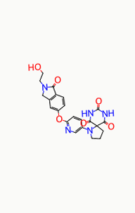 O=C1NC(=O)C2(CCCN2c2ccc(Oc3ccc4c(c3)CN(CCO)C4=O)nc2)C(=O)N1